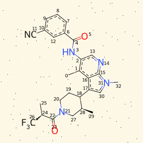 Cc1c(NC(=O)c2cccc(C#N)c2)cnc2c1c(C1CCN(C(=O)[C@H](C)C(F)(F)F)C[C@@H]1C)cn2C